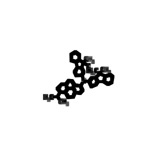 CC(C)c1ccc2ccc3c(N(c4ccc5c(c4)C(C)(C)c4ccccc4-5)c4ccc5c(c4)C(C)(C)c4ccccc4-5)ccc4ccc1c2c43